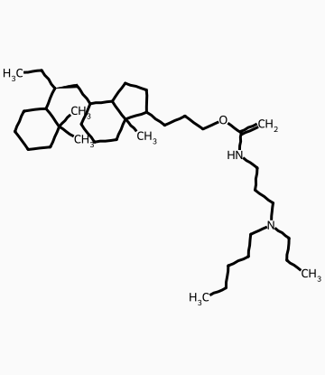 C=C(NCCCN(CCC)CCCCC)OCCCC1CCC2C(C[C@H](CC)C3CCCCC3(C)C)CCCC12C